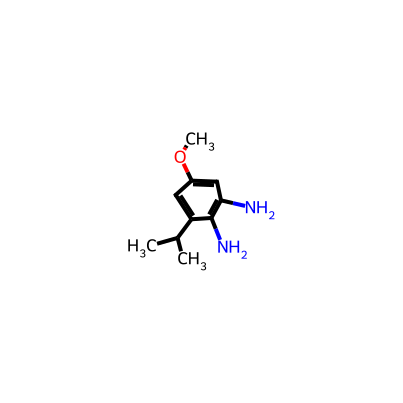 COc1cc(N)c(N)c(C(C)C)c1